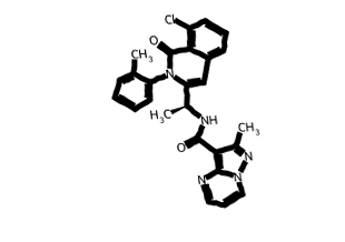 Cc1ccccc1-n1c([C@H](C)NC(=O)c2c(C)nn3cccnc23)cc2cccc(Cl)c2c1=O